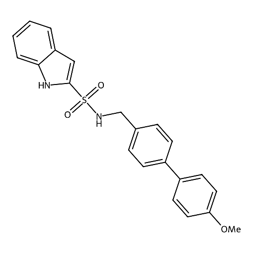 COc1ccc(-c2ccc(CNS(=O)(=O)c3cc4ccccc4[nH]3)cc2)cc1